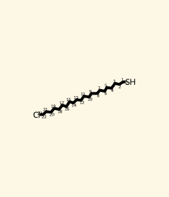 SCCCCCCCCCCCCCCCCCCCCCCCl